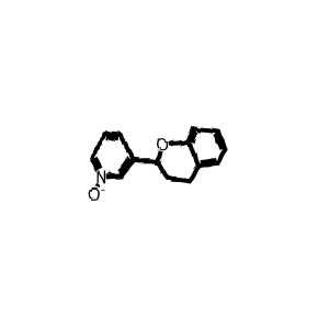 [O-][n+]1cccc(C2CCc3ccccc3O2)c1